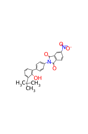 CC(C)(C)c1cccc(-c2ccc(N3C(=O)c4ccc([N+](=O)[O-])cc4C3=O)cc2)c1O